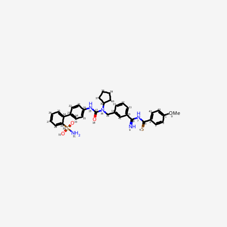 COc1ccc(C(=S)NC(=N)c2cccc(CN(C(=O)Nc3ccc(-c4ccccc4S(N)(=O)=O)cc3)C3CCCC3)c2)cc1